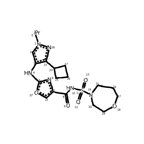 CC(C)n1cc(Nc2nc(C(=O)NS(=O)(=O)N3CCCOCC3)co2)c(C2CCC2)n1